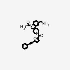 CC(=O)N1CC2(CCN(C(=O)c3ccc(C#Cc4ccccc4)o3)CC2)c2cc(CN)ccc21